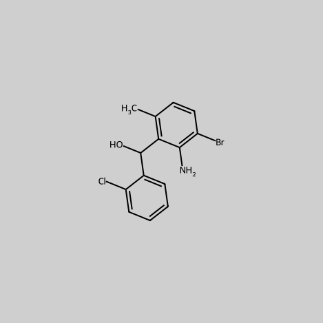 Cc1ccc(Br)c(N)c1C(O)c1ccccc1Cl